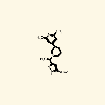 CC(=O)Nc1cc(C(C)N2CCCC(c3cc(C)nc(C)c3)C2)n[nH]1